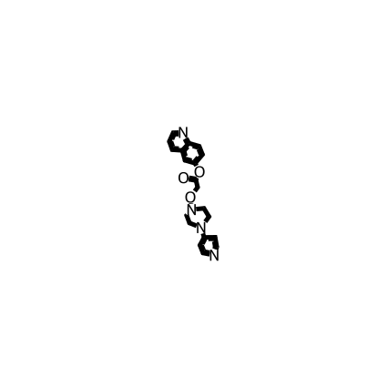 O=C(CON1CCN(c2ccncc2)CC1)Oc1ccc2ncccc2c1